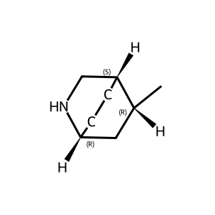 C[C@@H]1C[C@H]2CC[C@@H]1CN2